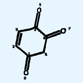 O=C1C=CC(=O)C(=O)C1